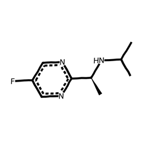 CC(C)N[C@@H](C)c1ncc(F)cn1